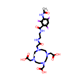 CC(=O)Nc1c(I)cc(I)c(C(=O)NCCNC(=O)CN2CCN(CC(=O)O)CCN(CC(=O)O)CCN(CC(=O)O)CC2)c1I